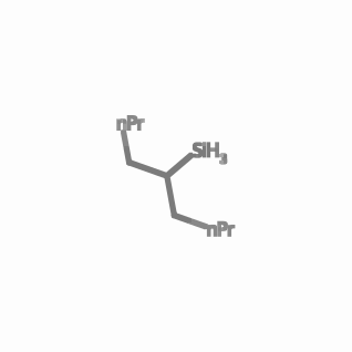 CCCCC([SiH3])CCCC